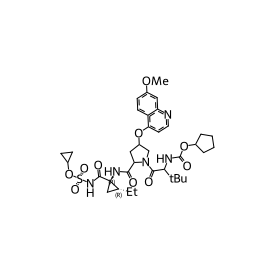 CC[C@@H]1C[C@]1(NC(=O)C1CC(Oc2ccnc3cc(OC)ccc23)CN1C(=O)C(NC(=O)OC1CCCC1)C(C)(C)C)C(=O)NS(=O)(=O)OC1CC1